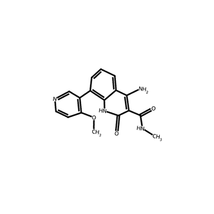 CNC(=O)c1c(N)c2cccc(-c3cnccc3OC)c2[nH]c1=O